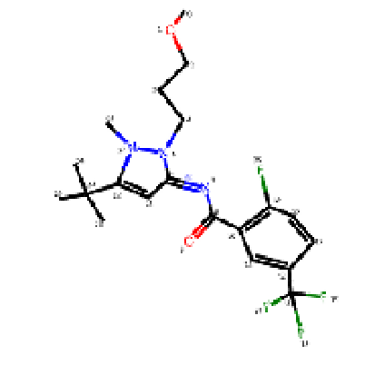 COCCCn1/c(=N/C(=O)c2cc(C(F)(F)F)ccc2F)cc(C(C)(C)C)n1C